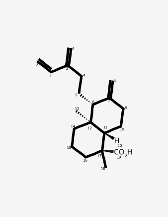 C=CC(=C)CC[C@@H]1C(=C)CC[C@H]2[C@@]1(C)CCC[C@]2(C)C(=O)O